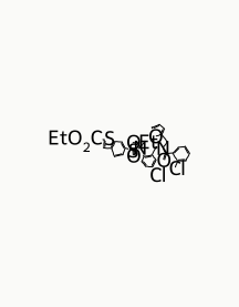 CCOC(=O)c1cc2ccc(S(=O)(=O)N(CC)c3ccc(Cl)cc3CN(Cc3ccco3)C(=O)c3ccccc3Cl)cc2s1